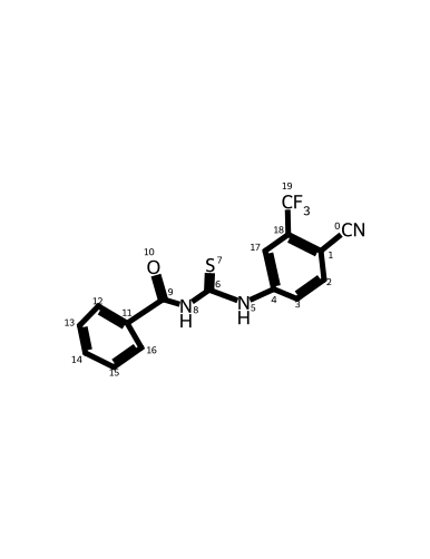 N#Cc1ccc(NC(=S)NC(=O)c2ccccc2)cc1C(F)(F)F